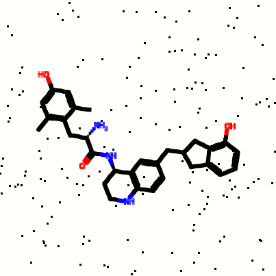 Cc1cc(O)cc(C)c1C[C@H](N)C(=O)N[C@@H]1CCNc2ccc(CC3Cc4cccc(O)c4C3)cc21